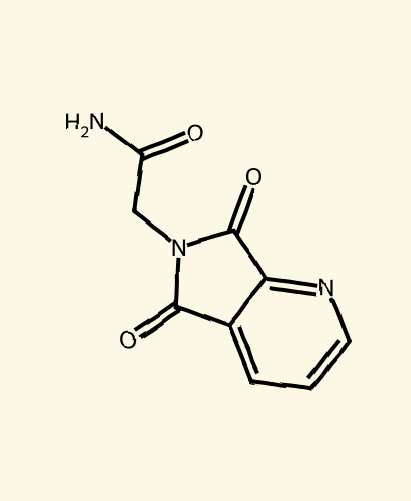 NC(=O)CN1C(=O)c2cccnc2C1=O